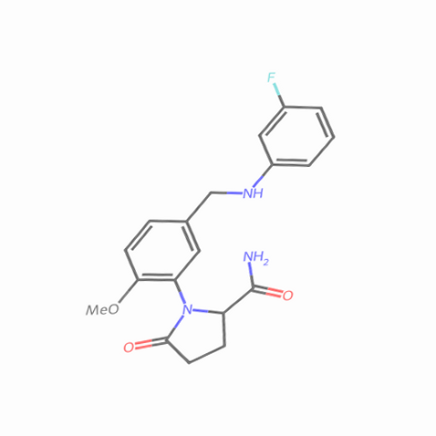 COc1ccc(CNc2cccc(F)c2)cc1N1C(=O)CCC1C(N)=O